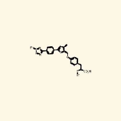 CCOC(Cc1ccc(OCc2sc(-c3ccc(-c4nnn(C(C)C)n4)cc3)cc2C)cc1)C(=O)O